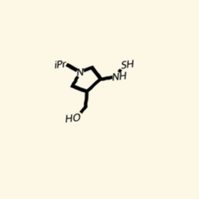 CC(C)N1CC(CO)C(NS)C1